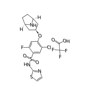 O=C(O)C(F)(F)F.O=S(=O)(Nc1nccs1)c1cc(Cl)c(O[C@H]2C[C@H]3CC[C@@H](C2)N3)cc1F